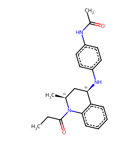 [CH2]C(=O)Nc1ccc(N[C@@H]2C[C@H](C)N(C(=O)CC)c3ccccc32)cc1